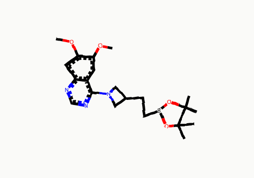 COc1cc2ncnc(N3CC(CCB4OC(C)(C)C(C)(C)O4)C3)c2cc1OC